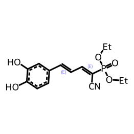 CCOP(=O)(OCC)/C(C#N)=C/C=C/c1ccc(O)c(O)c1